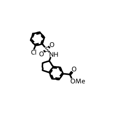 COC(=O)c1ccc2c(c1)C(NS(=O)(=O)c1ccccc1Cl)CC2